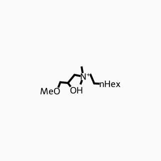 CCCCCCCC[N+](C)(C)CC(O)COC